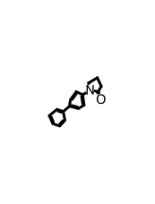 O=C1CCCN1c1ccc(-c2ccccc2)cc1